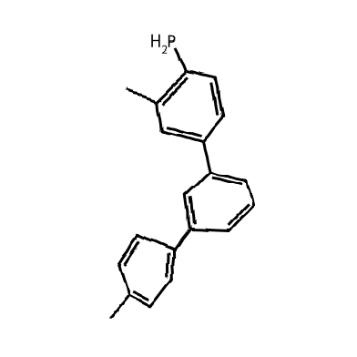 Cc1ccc(-c2cccc(-c3ccc(P)c(C)c3)c2)cc1